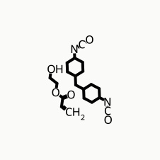 C=CC(=O)OCCO.O=C=NC1CCC(CC2CCC(N=C=O)CC2)CC1